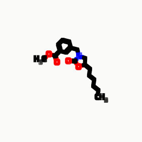 CCCCCCC1CN(Cc2cccc(C(=O)OC)c2)C(=O)O1